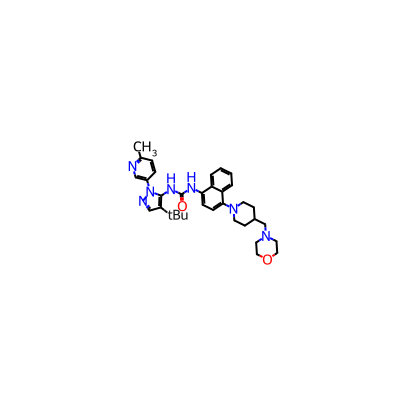 Cc1ccc(-n2ncc(C(C)(C)C)c2NC(=O)Nc2ccc(N3CCC(CN4CCOCC4)CC3)c3ccccc23)cn1